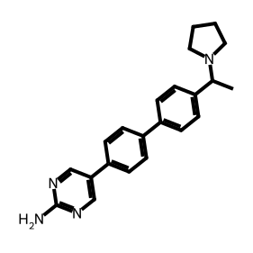 CC(c1ccc(-c2ccc(-c3cnc(N)nc3)cc2)cc1)N1CCCC1